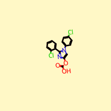 O=C(O)Oc1cn(-c2ccc(Cl)cc2)c(-c2ccccc2Cl)n1